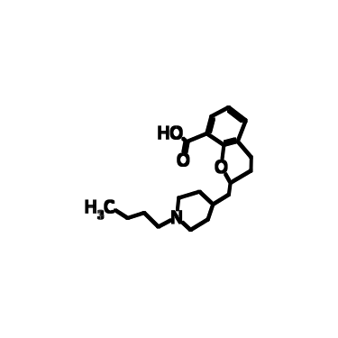 CCCCN1CCC(CC2CCc3cccc(C(=O)O)c3O2)CC1